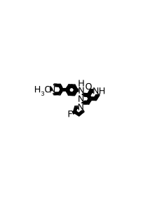 CN1CCC(c2ccc(Nc3nc(N4CCC(F)C4)cc4cc[nH]c(=O)c34)cc2)CC1